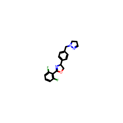 Fc1cccc(F)c1C1=NC(c2ccc(CN3CCC=N3)cc2)CO1